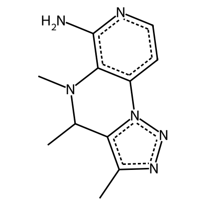 Cc1nnn2c1C(C)N(C)c1c-2ccnc1N